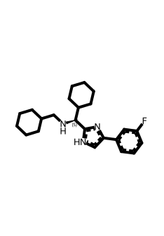 Fc1cccc(-c2c[nH]c([C@@H](NCC3CCCCC3)C3CCCCC3)n2)c1